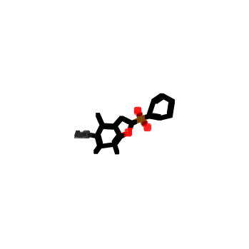 CC(=O)Oc1c(C)c(C)c2c(c1C)CC(S(=O)(=O)c1ccccc1)O2